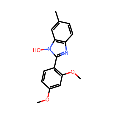 COc1ccc(-c2nc3ccc(C)cc3n2O)c(OC)c1